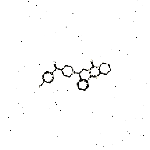 O=C(c1ccc(F)cc1)C1CCN(C(Cn2c(=O)nc3n(c2=O)CCCC3)c2ccccc2)CC1